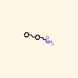 NC(=O)C=Cc1ccc(CCc2ccccc2)cc1